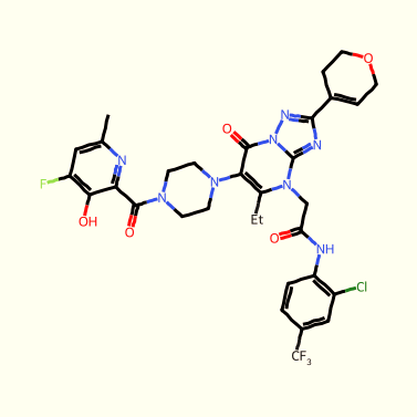 CCc1c(N2CCN(C(=O)c3nc(C)cc(F)c3O)CC2)c(=O)n2nc(C3=CCOCC3)nc2n1CC(=O)Nc1ccc(C(F)(F)F)cc1Cl